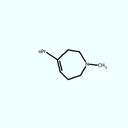 CCCC1=CCCN(C)CC1